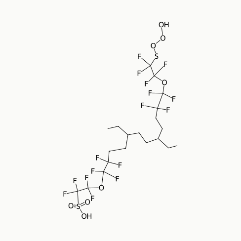 CCC(CCC(CC)CCC(F)(F)C(F)(F)OC(F)(F)C(F)(F)S(=O)(=O)O)CCC(F)(F)C(F)(F)OC(F)(F)C(F)(F)SOOO